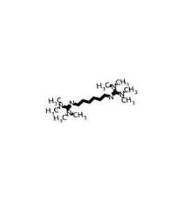 CN(C)C(=NCCCCCCN=C(N(C)C)N(C)C)N(C)C